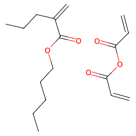 C=C(CCC)C(=O)OCCCCC.C=CC(=O)OC(=O)C=C